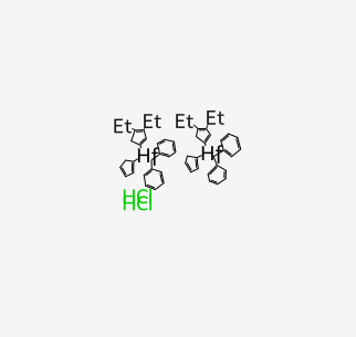 CCC1=C(CC)C[C]([Hf]([C]2=CC=CC2)=[C](c2ccccc2)c2ccccc2)=C1.CCC1=C(CC)C[C]([Hf]([C]2=CC=CC2)=[C](c2ccccc2)c2ccccc2)=C1.Cl.Cl